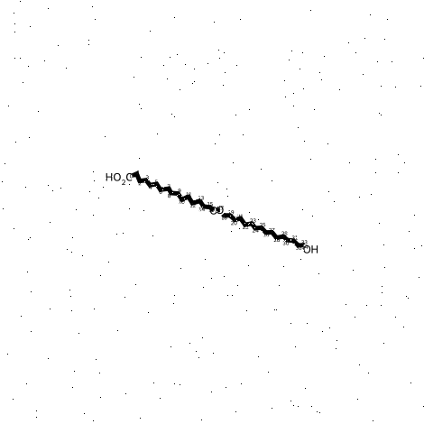 O=C(O)CCCCCCCCCCCCCCCOOCCCCCCCCCCCCCCCCO